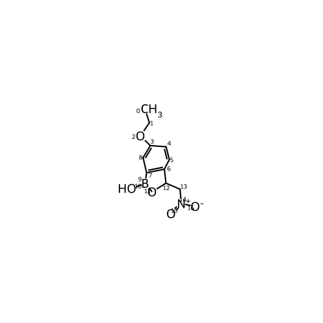 CCOc1ccc2c(c1)B(O)OC2C[N+](=O)[O-]